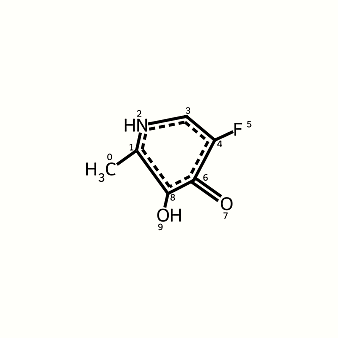 Cc1[nH]cc(F)c(=O)c1O